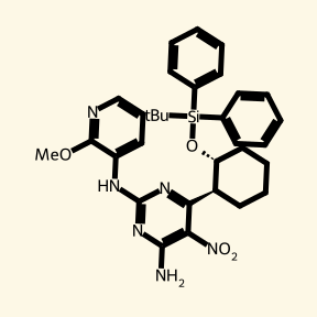 COc1ncccc1Nc1nc(N)c([N+](=O)[O-])c([C@@H]2CCCC[C@H]2O[Si](c2ccccc2)(c2ccccc2)C(C)(C)C)n1